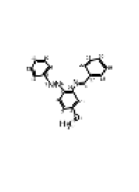 COc1ccc(N=Nc2ccccc2)c(N=Cc2ccccc2)c1